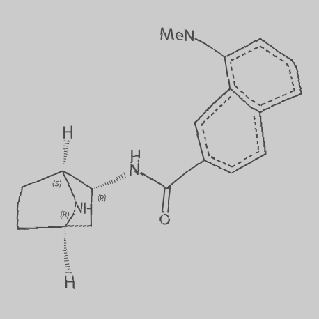 CNc1cccc2ccc(C(=O)N[C@@H]3C[C@H]4CC[C@@H]3N4)cc12